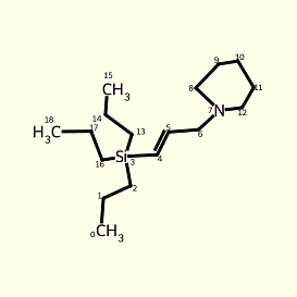 CCC[Si](C=CCN1CCCCC1)(CCC)CCC